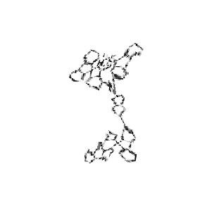 CC1(C)c2ccccc2-c2ccc(N(c3ccc4cc(-c5ccc6c(c5)C5(c7ccccc7-6)c6ccccc6-n6c7ccccc7c7cccc5c76)ccc4c3)c3cccc4c3-c3ccccc3C43c4ccccc4-c4ccccc43)cc21